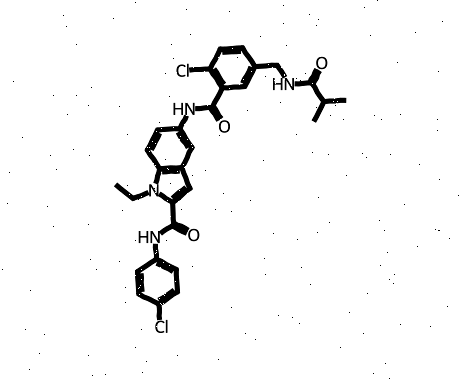 CCn1c(C(=O)Nc2ccc(Cl)cc2)cc2cc(NC(=O)c3cc(CNC(=O)C(C)C)ccc3Cl)ccc21